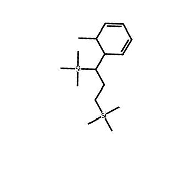 CC1C=CC=CC1C(CC[Si](C)(C)C)[Si](C)(C)C